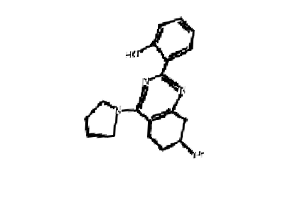 CC(C)C1CCc2c(nc(-c3ccccc3O)nc2N2CCCC2)C1